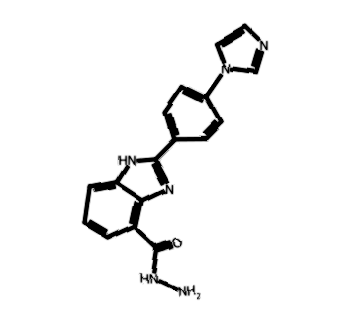 NNC(=O)c1cccc2[nH]c(-c3ccc(-n4ccnc4)cc3)nc12